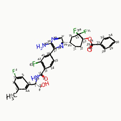 Cc1cc(F)cc([C@@H](CO)NC(=O)c2ccc(-c3nc([C@H]4CC[C@H](OC(=O)c5ccccc5)C(F)(F)C4)cnc3N)cc2F)c1